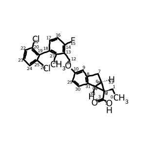 CC[C@]1(C(=O)O)[C@@H]2Cc3cc(OCc4c(F)ccc(-c5c(Cl)cccc5Cl)c4C)ccc3[C@H]21